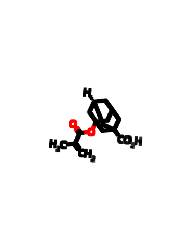 C=C(C)C(=O)OC12CC3C[C@H](C1)CC(C(=O)O)(C3)C2